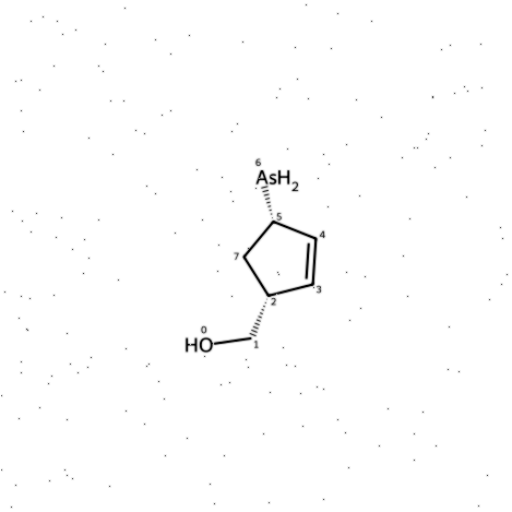 OC[C@H]1C=C[C@@H]([AsH2])C1